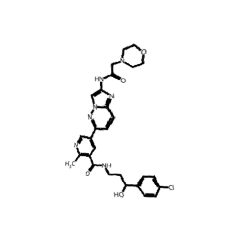 Cc1ncc(-c2ccc3nc(NC(=O)CN4CCOCC4)cn3n2)cc1C(=O)NCCC(O)c1ccc(Cl)cc1